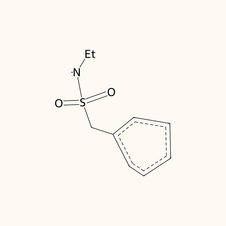 CC[N]S(=O)(=O)Cc1ccccc1